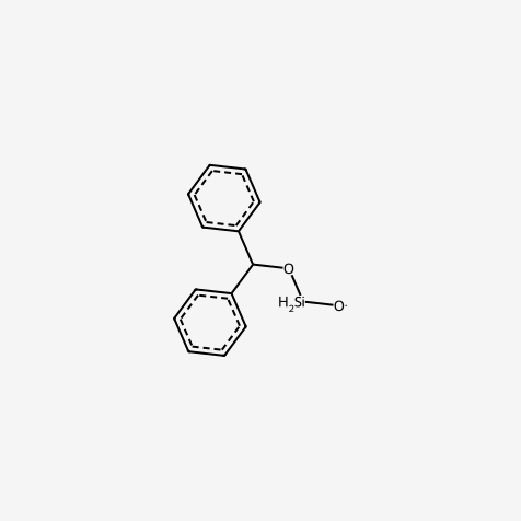 [O][SiH2]OC(c1ccccc1)c1ccccc1